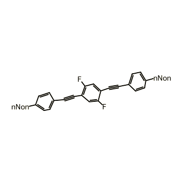 CCCCCCCCCc1ccc(C#Cc2cc(F)c(C#Cc3ccc(CCCCCCCCC)cc3)cc2F)cc1